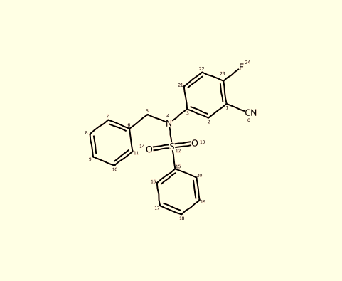 N#Cc1cc(N(Cc2ccccc2)S(=O)(=O)c2ccccc2)ccc1F